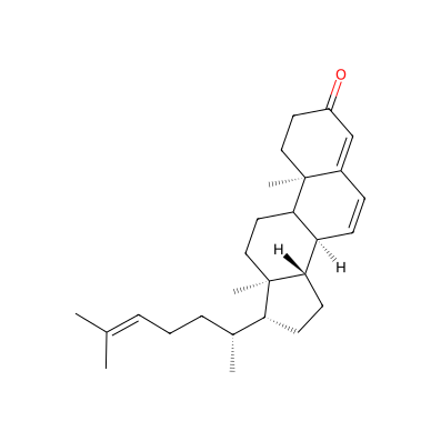 CC(C)=CCC[C@@H](C)[C@H]1CC[C@H]2[C@@H]3C=CC4=CC(=O)CC[C@]4(C)C3CC[C@]12C